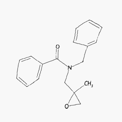 CC1(CN(Cc2ccccc2)C(=O)c2ccccc2)CO1